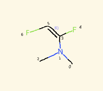 CN(C)/C(F)=C\F